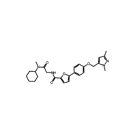 Cc1cc(COc2ccc(-c3ccc(C(=O)NCC(=O)N(C)C4CCCCC4)o3)cc2)n(C)n1